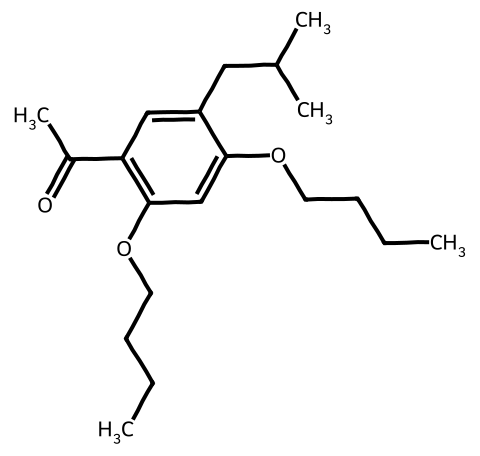 CCCCOc1cc(OCCCC)c(C(C)=O)cc1CC(C)C